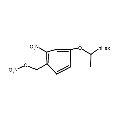 CCCCCCC(C)Oc1ccc(CO[N+](=O)[O-])c([N+](=O)[O-])c1